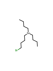 CCC[CH2][Sn]([CH2]CCC)[CH2]CCCBr